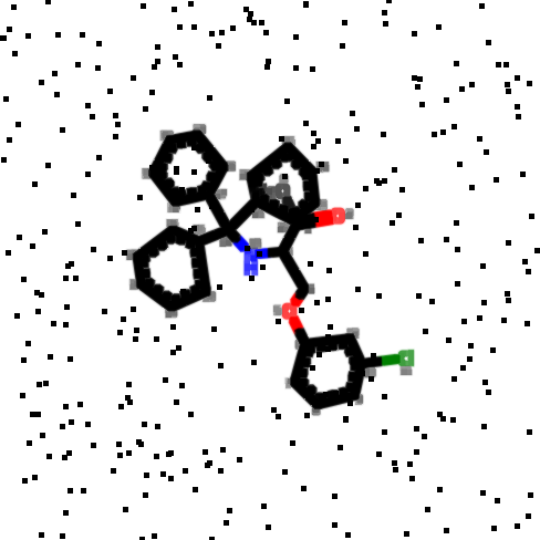 COC(=O)C(COc1cccc(Cl)c1)NC(c1ccccc1)(c1ccccc1)c1ccccc1